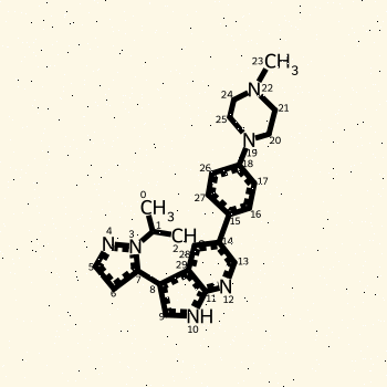 CC(C)n1nccc1-c1c[nH]c2ncc(-c3ccc(N4CCN(C)CC4)cc3)cc12